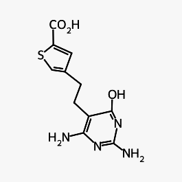 Nc1nc(N)c(CCc2csc(C(=O)O)c2)c(O)n1